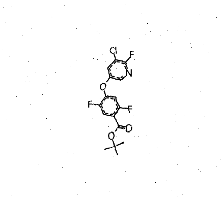 CC(C)(C)OC(=O)c1cc(F)c(Oc2cnc(F)c(Cl)c2)cc1F